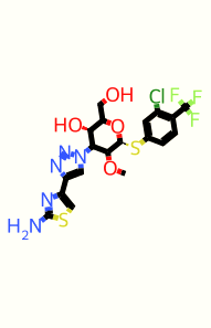 COC1C(n2cc(-c3csc(N)n3)nn2)[C@@H](O)C(CO)O[C@@H]1Sc1ccc(C(F)(F)F)c(Cl)c1